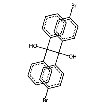 OC(c1ccccc1)(c1ccccc1)C(O)(c1ccc(Br)cc1)c1ccc(Br)cc1